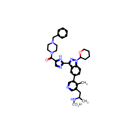 Cc1c(CC(C)NC(=O)O)cncc1-c1ccc2c(c1)c(-c1ncc(C(=O)N3CCN(Cc4ccccc4)CC3)[nH]1)nn2C1CCCCO1